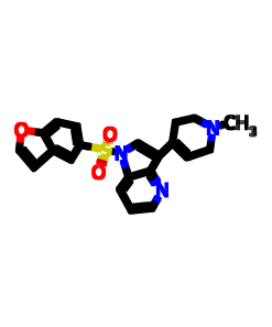 CN1CC=C(c2cn(S(=O)(=O)c3ccc4occc4c3)c3cccnc23)CC1